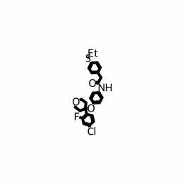 CCSc1ccc(CC(=O)Nc2ccc(OC3(c4ccc(Cl)cc4F)CCOCC3)cc2)cc1